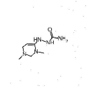 CN1CC=C(NNC(N)=O)N(C)C1